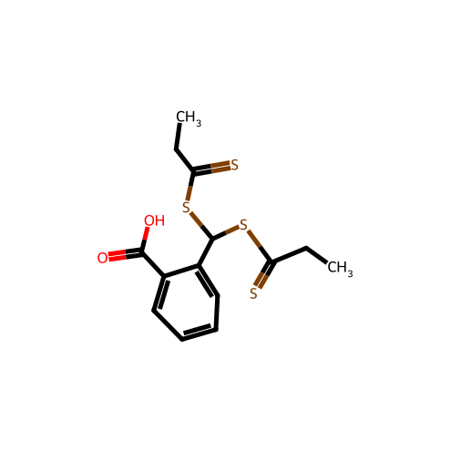 CCC(=S)SC(SC(=S)CC)c1ccccc1C(=O)O